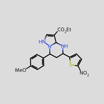 CCOC(=O)C1=CNN2C1NC(c1ccc([N+](=O)[O-])s1)CC2c1ccc(OC)cc1